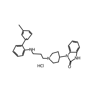 Cc1cccc(-c2ccccc2NCCCN2CCC(n3c(=O)[nH]c4ccccc43)CC2)c1.Cl